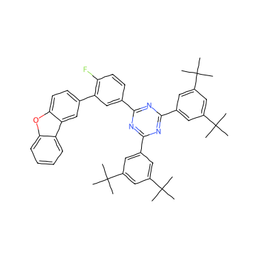 CC(C)(C)c1cc(-c2nc(-c3cc(C(C)(C)C)cc(C(C)(C)C)c3)nc(-c3ccc(F)c(-c4ccc5oc6ccccc6c5c4)c3)n2)cc(C(C)(C)C)c1